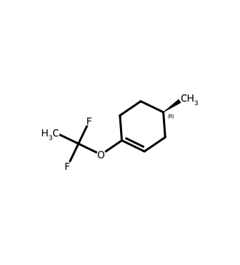 C[C@H]1CC=C(OC(C)(F)F)CC1